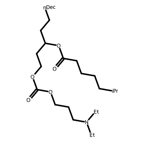 CCCCCCCCCCCCC(CCOC(=O)OCCCN(CC)CC)OC(=O)CCCCC(C)C